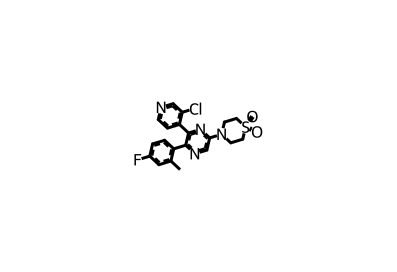 Cc1cc(F)ccc1-c1ncc(N2CCS(=O)(=O)CC2)nc1-c1ccncc1Cl